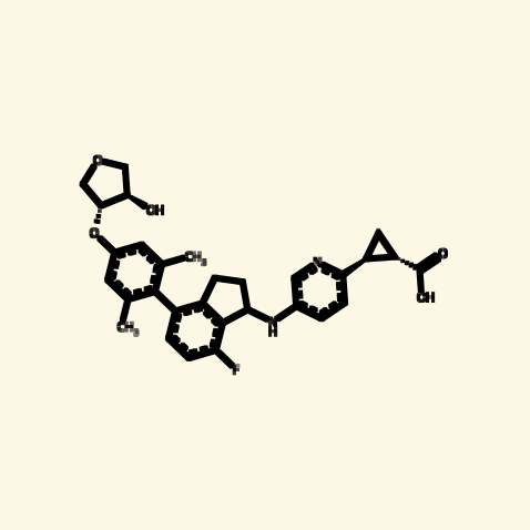 Cc1cc(O[C@@H]2COC[C@H]2O)cc(C)c1-c1ccc(F)c2c1CCC2Nc1ccc([C@H]2C[C@@H]2C(=O)O)nc1